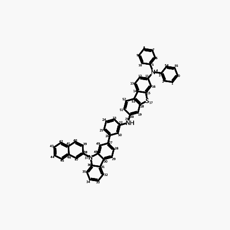 c1ccc(N(c2ccccc2)c2ccc3c(c2)sc2cc(Nc4cccc(-c5ccc6c7ccccc7n(-c7ccc8ccccc8c7)c6c5)c4)ccc23)cc1